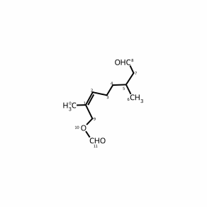 CC(=CCCC(C)CC=O)COC=O